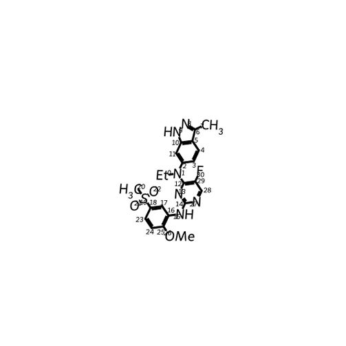 CCN(c1ccc2c(C)n[nH]c2c1)c1nc(Nc2cc(S(C)(=O)=O)ccc2OC)ncc1F